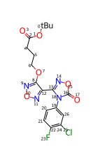 CC(C)(C)OC(=O)CCCOc1nonc1-c1noc(=O)n1-c1ccc(F)c(Cl)c1